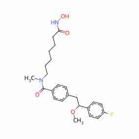 COC(Cc1ccc(C(=O)N(C)CCCCCCC(=O)NO)cc1)c1ccc(F)cc1